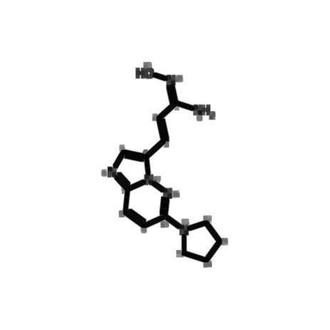 NC(/C=C/c1cnc2ccc(N3CCCC3)nn12)=N/O